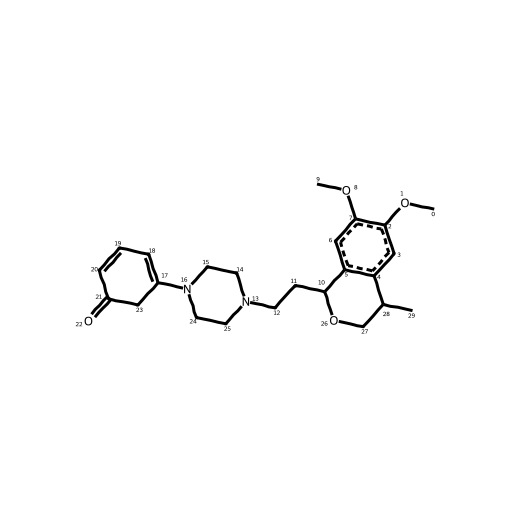 COc1cc2c(cc1OC)C(CCN1CCN(C3=CC=CC(=O)C3)CC1)OCC2C